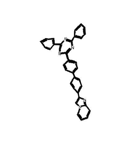 c1ccc(-c2nc(-c3ccccc3)nc(-c3ccc(-c4ccc(-c5cn6ccccc6n5)cc4)cc3)n2)cc1